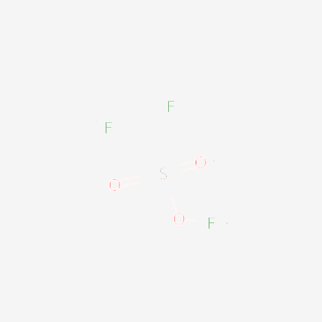 O=S(=O)(OF)C(F)F